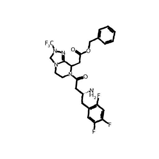 N[C@@H](CC(=O)N1CCN2CN(C(F)(F)F)N=C2C1CC(=O)OCc1ccccc1)Cc1cc(F)c(F)cc1F